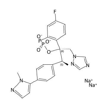 C[C@@H](c1ccc(-c2ccnn2C)cc1)[C@@](Cn1cncn1)(OP(=O)([O-])[O-])c1ccc(F)cc1F.[Na+].[Na+]